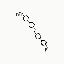 CCC[C@H]1CC[C@H]([C@H]2CC[C@H](CCC3CCC(c4ccc(CF)cc4)CC3)CC2)CC1